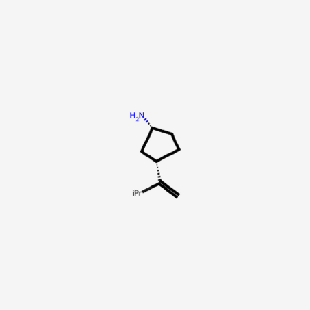 C=C(C(C)C)[C@H]1CC[C@@H](N)C1